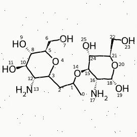 CC([CH]C1O[C@H](CO)[C@@H](O)[C@H](O)[C@H]1N)O[C@@H]1[C@@H](N)[C@@H](O)O[C@H](CO)[C@H]1O